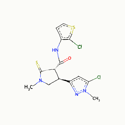 CN1C[C@H](c2cc(Cl)n(C)n2)[C@@H](C(=O)Nc2ccsc2Cl)C1=S